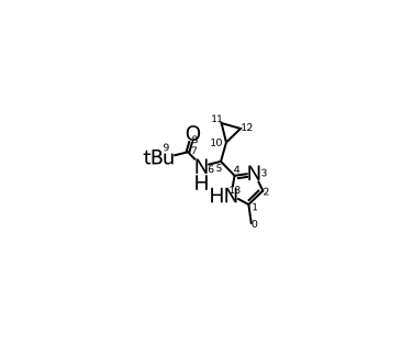 Cc1cnc(C(NC(=O)C(C)(C)C)C2CC2)[nH]1